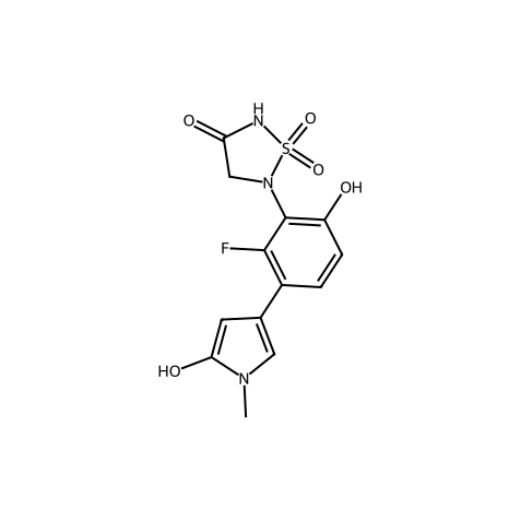 Cn1cc(-c2ccc(O)c(N3CC(=O)NS3(=O)=O)c2F)cc1O